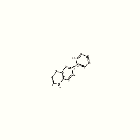 [c]1ccc(-c2ccc3c(c2)CCCO3)cc1